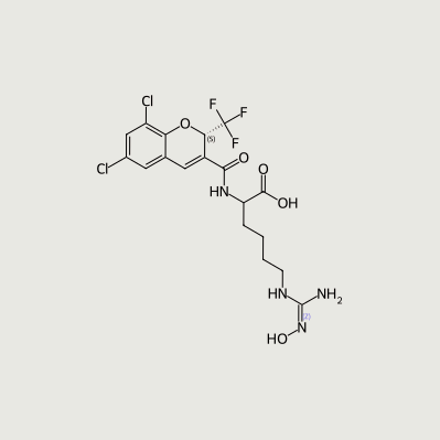 N/C(=N/O)NCCCCC(NC(=O)C1=Cc2cc(Cl)cc(Cl)c2O[C@@H]1C(F)(F)F)C(=O)O